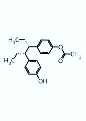 CC[C@H](c1ccc(OC(C)=O)cc1)[C@@H](CC)c1ccc(O)cc1